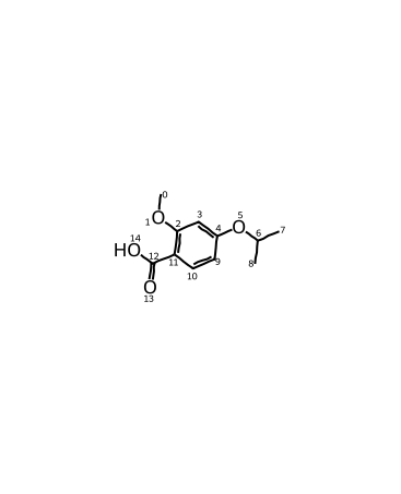 COc1cc(OC(C)C)ccc1C(=O)O